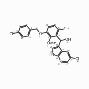 COc1c(OCc2ccc(Cl)cc2)ccc(F)c1C(O)c1c[nH]c2ncc(Cl)cc12